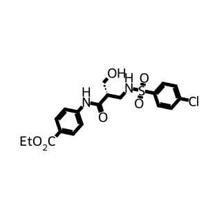 CCOC(=O)c1ccc(NC(=O)[C@H](CO)CNS(=O)(=O)c2ccc(Cl)cc2)cc1